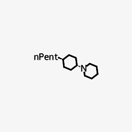 CCCCC[C@H]1CC[C@H](N2CCCCC2)CC1